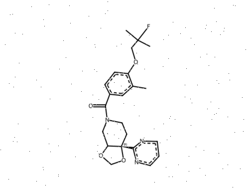 Cc1cc(C(=O)N2CC[C@]3(c4ncccn4)OCOC3C2)ccc1OCC(C)(C)F